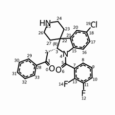 O=C(C[C@H]1N(C(=O)c2cccc(F)c2F)c2ccc(Cl)cc2C12CCNCC2)c1ccccc1